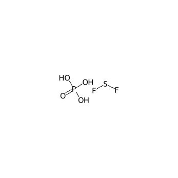 FSF.O=P(O)(O)O